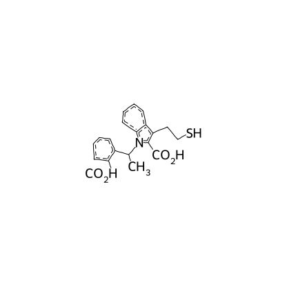 CC(c1ccccc1C(=O)O)n1c(C(=O)O)c(CCS)c2ccccc21